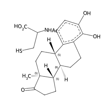 CC(=O)NC(CS)C(=O)O.C[C@]12CC[C@@H]3c4ccc(O)c(O)c4CC[C@H]3[C@@H]1CCC2=O